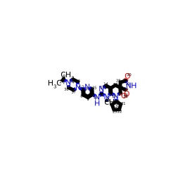 CC(C)N1CCN(c2ccc(NC3N=CC4=C(N3C)N(C3CCCC3)C(=O)C3(CC(=O)NC3=O)C4)cn2)CC1